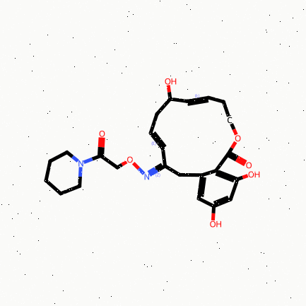 O=C1OCC/C=C/C(O)C/C=C/C(=N\OCC(=O)N2CCCCC2)Cc2cc(O)cc(O)c21